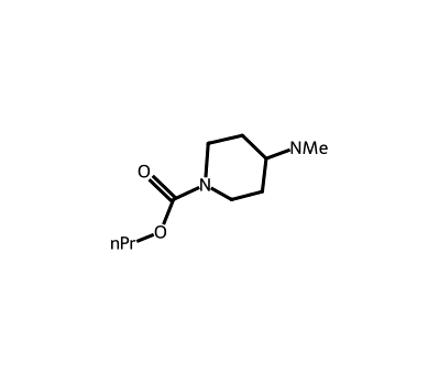 CCCOC(=O)N1CCC(NC)CC1